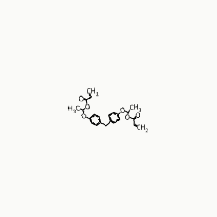 C=CC(=O)OC(C)Oc1ccc(Cc2ccc(OC(C)OC(=O)C=C)cc2)cc1